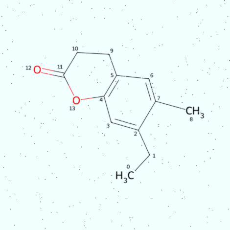 CCc1cc2c(cc1C)CCC(=O)O2